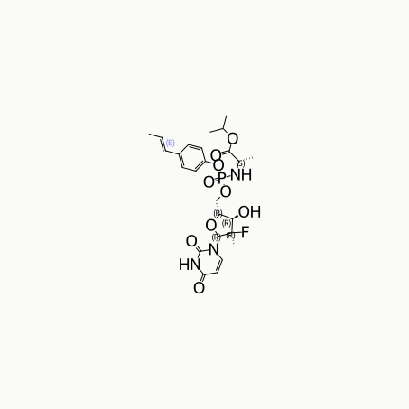 C/C=C/c1ccc(OP(=O)(N[C@@H](C)C(=O)OC(C)C)OC[C@H]2O[C@@H](n3ccc(=O)[nH]c3=O)[C@](C)(F)[C@@H]2O)cc1